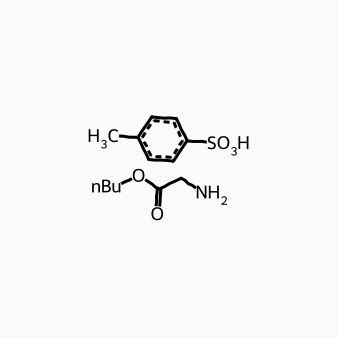 CCCCOC(=O)CN.Cc1ccc(S(=O)(=O)O)cc1